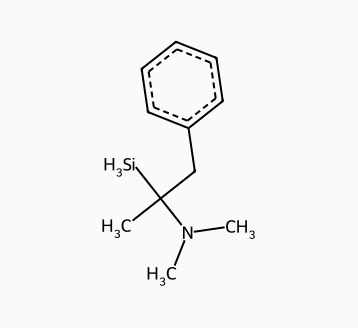 CN(C)C(C)([SiH3])Cc1ccccc1